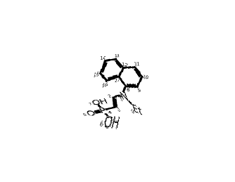 CCN(/C=C/P(=O)(O)O)c1cccc2ccccc12